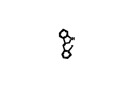 Fc1ccccc1C=C1CNc2ccccc21